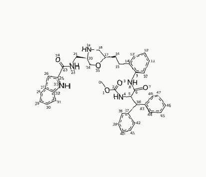 COC(=O)NC(C(=O)Nc1ccccc1CC[C@@H]1CN[C@H](CNC(=O)c2cc3ccccc3[nH]2)CO1)C(c1ccccc1)c1ccccc1